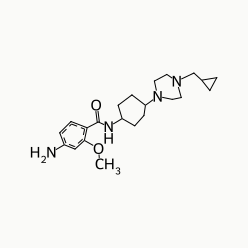 COc1cc(N)ccc1C(=O)NC1CCC(N2CCN(CC3CC3)CC2)CC1